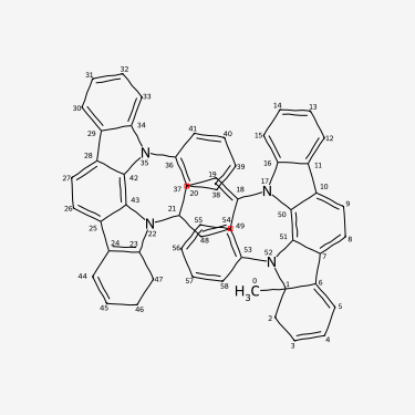 CC12CC=CC=C1c1ccc3c4ccccc4n(C4=CCC(n5c6c(c7ccc8c9ccccc9n(-c9ccccc9)c8c75)C=CCC6)C=C4)c3c1N2c1ccccc1